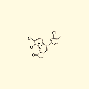 Cc1ccc(/C(=C/[C@H]2CCC(=O)N2)c2ccc(Cl)c(=O)[nH]2)cc1Cl